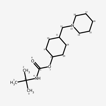 CC(C)(C)NC(=O)OC1CCC(CN2CCCCC2)CC1